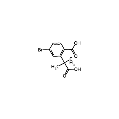 CC(C)(C(=O)O)c1cc(Br)ccc1C(=O)O